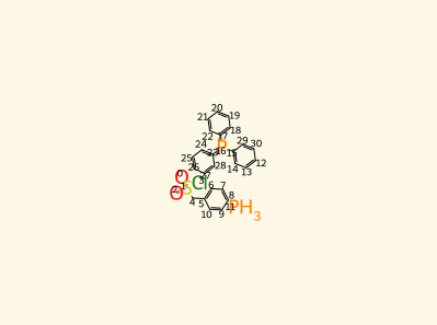 O=S(=O)(Cl)Cc1ccccc1.P.c1ccc(P(c2ccccc2)c2ccccc2)cc1